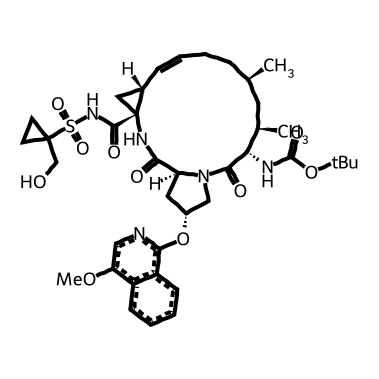 COc1cnc(O[C@@H]2C[C@H]3C(=O)N[C@]4(C(=O)NS(=O)(=O)C5(CO)CC5)C[C@@H]4/C=C\CC[C@@H](C)C[C@@H](C)[C@H](NC(=O)OC(C)(C)C)C(=O)N3C2)c2ccccc12